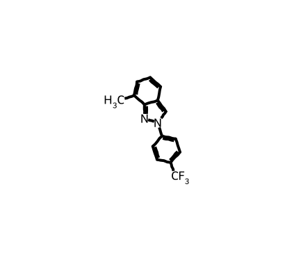 Cc1cccc2cn(-c3ccc(C(F)(F)F)cc3)nc12